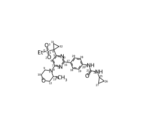 CCS(=O)(=O)C1(c2cc(N3CCOC[C@@H]3C)nc(-c3ccc(NC(=O)NC4CC4)cc3)n2)CC1